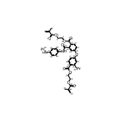 C=C(C)C(=O)OCCOC(=O)c1ccc(Oc2ccc(C(=O)OCCOC(=O)C(=C)C)c(C(C)C)c2)cc1C(=O)Nc1ccc(NC(C)C)cc1